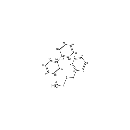 OCCCc1ccccc1.c1ccc(-c2ccccc2)cc1